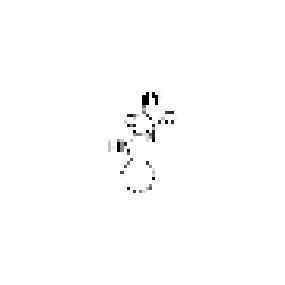 CC(C)C1OC(NC2CCCCCC2)=NC1=O